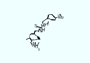 Cc1cc(CNC(=S)NCc2ccc(C(C)(C)C)cc2)ccc1N